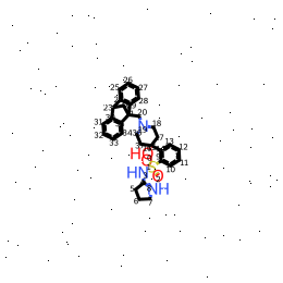 O=S(=O)(NC1CCCN1)c1ccccc1C1(O)CCN(CC23CC(c4ccccc42)c2ccccc23)CC1